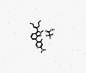 CCC=C(CCC)c1c2cccc(-c3cnc(N(C)C)cc3C)c2nn1C.O=C(O)C(F)(F)F